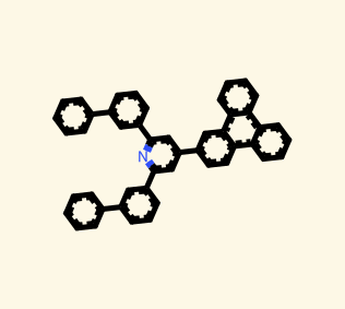 c1ccc(-c2cccc(-c3cc(-c4ccc5c6ccccc6c6ccccc6c5c4)cc(-c4cccc(-c5ccccc5)c4)n3)c2)cc1